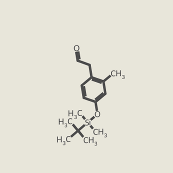 Cc1cc(O[Si](C)(C)C(C)(C)C)ccc1CC=O